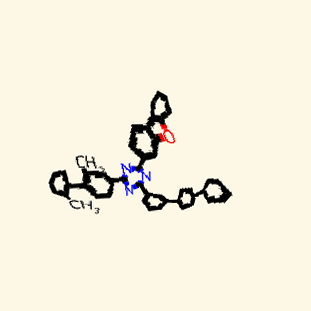 Cc1ccccc1-c1ccc(-c2nc(-c3cccc(-c4ccc(-c5ccccc5)cc4)c3)nc(-c3ccc4c(c3)oc3ccccc34)n2)cc1C